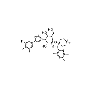 Cc1nc(C)c([C@H](S[C@@H]2O[C@H](CO)[C@H](O)[C@H](n3cc(-c4cc(F)c(F)c(F)c4)nn3)[C@H]2O)C2(O)CCC(F)(F)CC2)nc1C